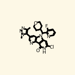 Cc1nnn(C)c1-c1cnc2c3c(=O)[nH]c(Cl)cc3n(C(c3ncccc3F)C3CCOCC3)c2c1